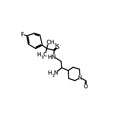 CC(C)(C(=S)NCC(N)C1CCN(C=O)CC1)c1ccc(F)cc1